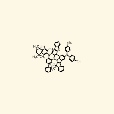 Cc1cc2c(cc1N1c3ccc(-c4ccccc4)cc3B3c4c1cc1c(sc5ccccc51)c4-c1cc(N(c4ccc(C(C)(C)C)cc4)c4ccc(C(C)(C)C)cc4)cc4c5c(n3c14)C(C)(C)c1ccccc1-5)C(C)(C)CCC2(C)C